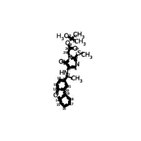 CSc1ncc(N[C@@H](C)c2ccc3oc4ccccc4c3c2)c(=O)n1CC(=O)OC(C)(C)C